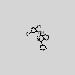 Clc1ccc(Cl)c(Nc2nnc(-c3ccccc3)c3ccccc23)c1